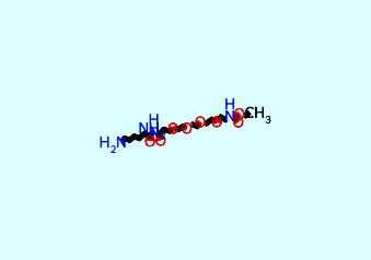 CCOC(=O)NCCOCCOCCOCCOCCC(=O)NC(=O)[C@@H](N)CCCCN